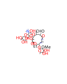 CCC1OC(=O)CC(O)C(C)C(OC2OC(C)C(OC3CC(C)(O)C(O)C(C)O3)C(N(C)C)C2O)C(CC=O)CC(C)C(=O)/C=C/C(C)=C/C1COC1OC(C)C(O)C(O)C1OC